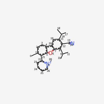 Cc1ccc2c(oc3c(C(C)C)c(C#N)c(C(C)C)cc32)c1-c1cccc[n+]1C